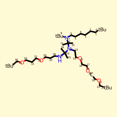 CC(C)(C)CCCCCCN(C(C)(C)C)C(C)(C)N(CCOCCOCCOCC(C)(C)C)C(C)(C)NCCCOCCCOCC(C)(C)C